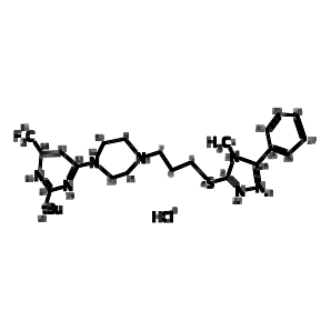 Cl.Cn1c(SCCCN2CCN(c3cc(C(F)(F)F)nc(C(C)(C)C)n3)CC2)nnc1-c1ccccc1